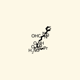 CC(C)CS(=O)(=O)[C@H](C(N)=O)C(=O)NCCC(C=O)c1noc(-c2ccsc2)n1